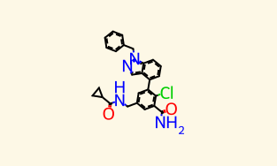 NC(=O)c1cc(CNC(=O)C2CC2)cc(-c2cccc3c2cnn3Cc2ccccc2)c1Cl